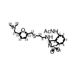 CC(=O)Nc1cccc2c1C(NCCSCc1ccc(CN(C)C)o1)=NS2(=O)=O